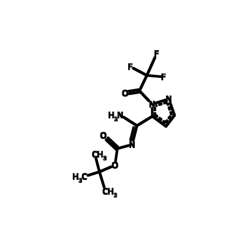 CC(C)(C)OC(=O)N=C(N)c1ccnn1C(=O)C(F)(F)F